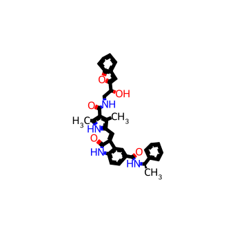 Cc1[nH]c(/C=C2\C(=O)Nc3ccc(C(=O)N[C@H](C)c4ccccc4)cc32)c(C)c1C(=O)NCC(O)c1cc2ccccc2o1